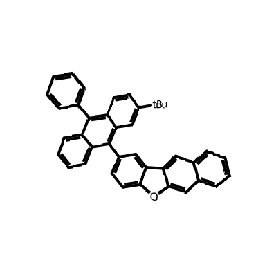 CC(C)(C)c1ccc2c(-c3ccccc3)c3ccccc3c(-c3ccc4oc5cc6ccccc6cc5c4c3)c2c1